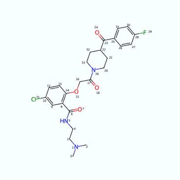 CN(C)CCNC(=O)c1cc(Cl)ccc1OCC(=O)N1CCC(C(=O)c2ccc(F)cc2)CC1